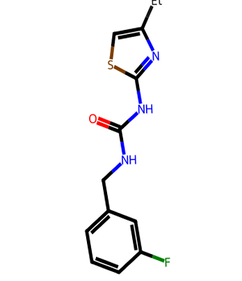 CCc1csc(NC(=O)NCc2cccc(F)c2)n1